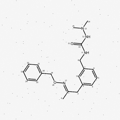 CC(Cc1cccc(CNC(=O)NN(C)C)c1)=NOCc1ccccc1